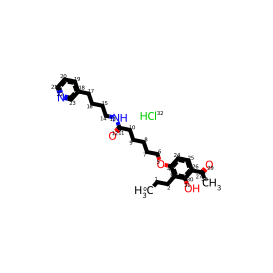 CCCc1c(OCCCCCC(=O)NCCCCc2cccnc2)ccc(C(C)=O)c1O.Cl